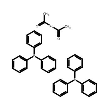 C[C](=O)[Pd][C](C)=O.c1ccc(P(c2ccccc2)c2ccccc2)cc1.c1ccc(P(c2ccccc2)c2ccccc2)cc1